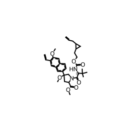 C=CCC1CC1CCOC(=O)N[C@H](C(=O)N1CC(OC)(c2ccc3cc(OC)c(C=C)cc3c2)CC1C(=O)OC)C(C)(C)C